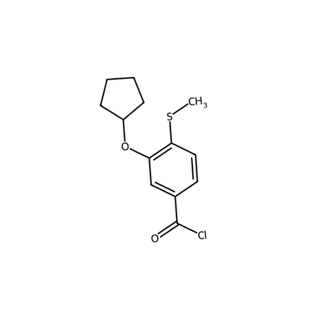 CSc1ccc(C(=O)Cl)cc1OC1CCCC1